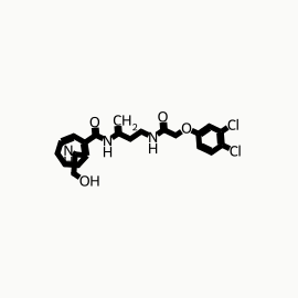 C=C(CCNC(=O)COc1ccc(Cl)c(Cl)c1)NC(=O)C1=C2CCCC(=C1)NC2CO